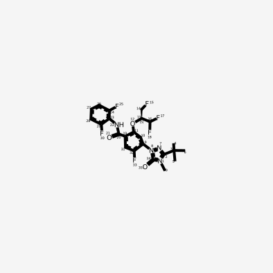 Cn1c(C(C)(C)C)nn(-c2cc(O[C@@H](CF)C(F)F)c(C(=O)Nc3c(F)cccc3F)cc2F)c1=O